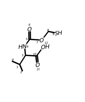 CC(C)C(NC(=O)OCS)C(=O)O